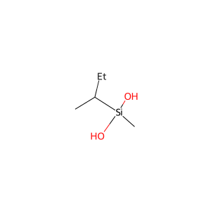 CCC(C)[Si](C)(O)O